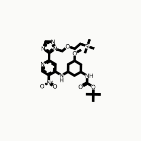 COC1CC(NC(=O)OC(C)(C)C)CC(Nc2cc(-c3ncnn3COCC[Si](C)(C)C)ncc2[N+](=O)[O-])C1